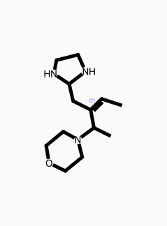 C/C=C(/CC1NCCN1)C(C)N1CCOCC1